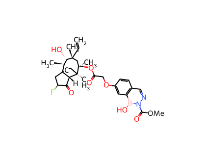 C=C[C@]1(C)C[C@@H](OC(=O)COc2ccc3c(c2)B(O)N(C(=O)OC)N=C3)[C@]2(C)[C@H](C)CC[C@]3(C[C@H](F)C(=O)[C@H]32)[C@@H](C)[C@@H]1O